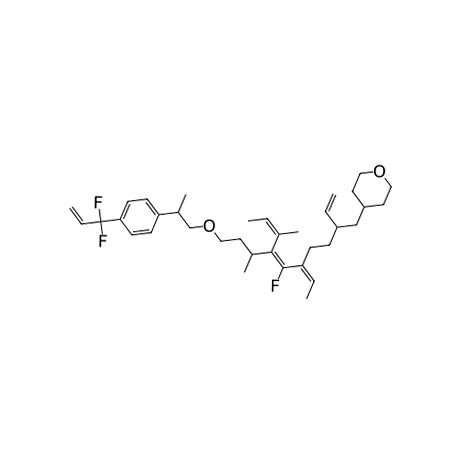 C=CC(CCC(=C/C)/C(F)=C(\C(C)=C/C)C(C)CCOCC(C)c1ccc(C(F)(F)C=C)cc1)CC1CCOCC1